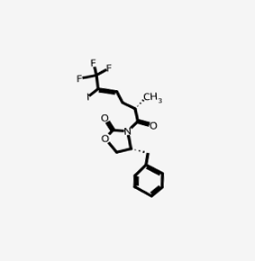 C[C@@H](C/C=C(\I)C(F)(F)F)C(=O)N1C(=O)OC[C@H]1Cc1ccccc1